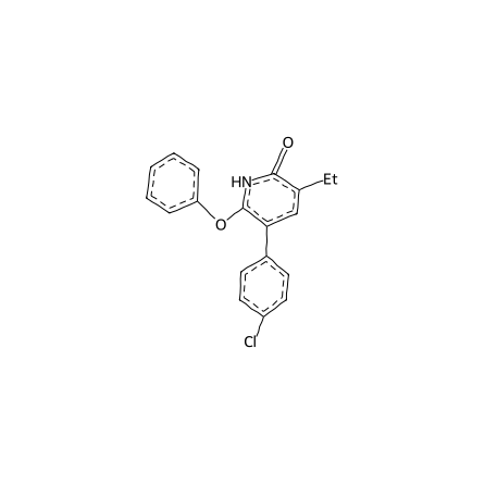 CCc1cc(-c2ccc(Cl)cc2)c(Oc2ccccc2)[nH]c1=O